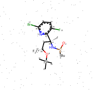 CC(C)(C)[S+]([O-])N[C@@](C)(C[C@H](O[Si](C)(C)C)C(F)(F)F)c1nc(Br)ccc1F